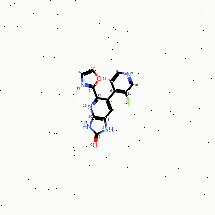 O=c1[nH]c2cc(-c3ccncc3F)c(-c3ncco3)nc2[nH]1